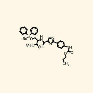 C=CCOC(=O)Nc1ccc(-c2nc(C(=O)NC(CO[Si](c3ccccc3)(c3ccccc3)C(C)(C)C)C(=O)OC)cs2)cc1